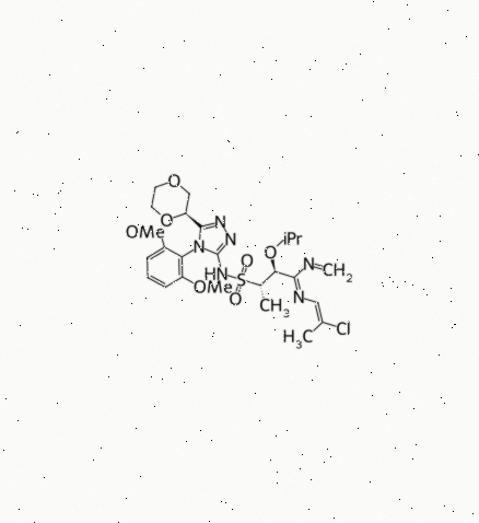 C=N/C(=N\C=C(/C)Cl)[C@H](OC(C)C)[C@H](C)S(=O)(=O)Nc1nnc([C@@H]2COCCO2)n1-c1c(OC)cccc1OC